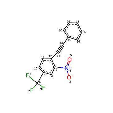 O=[N+]([O-])c1cc(C(F)(F)F)ccc1C#Cc1ccccc1